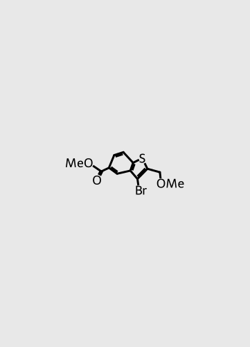 COCc1sc2ccc(C(=O)OC)cc2c1Br